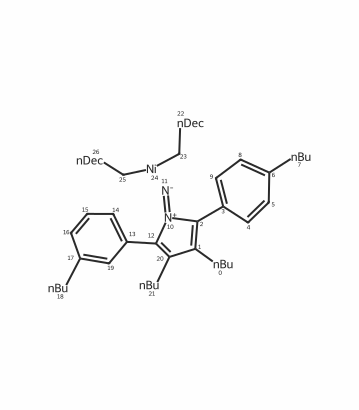 CCCCC1=C(c2ccc(CCCC)cc2)[N+](=[N-])C(c2cccc(CCCC)c2)=C1CCCC.CCCCCCCCCC[CH2][Ni][CH2]CCCCCCCCCC